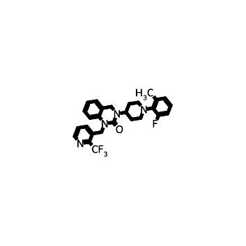 Cc1cccc(F)c1N1CCC(N2Cc3ccccc3N(Cc3cccnc3C(F)(F)F)C2=O)CC1